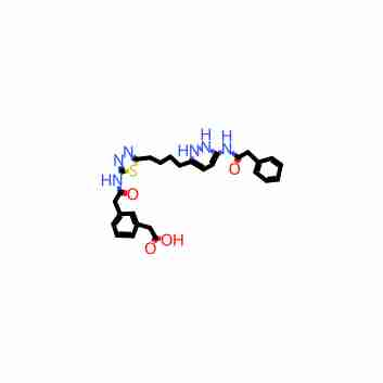 O=C(O)Cc1cccc(CC(=O)Nc2nnc(CCCCC3=CC=C(NC(=O)Cc4ccccc4)NN3)s2)c1